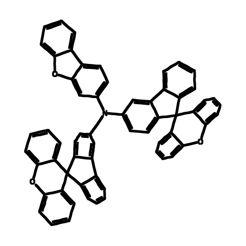 c1ccc2c(c1)Oc1ccccc1C21c2ccccc2-c2cc(N(c3ccc4c(c3)-c3ccccc3C43c4ccccc4Oc4ccccc43)c3ccc4c(c3)oc3ccccc34)ccc21